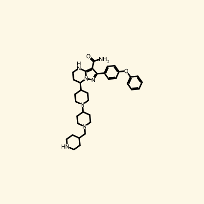 NC(=O)c1c(-c2ccc(Oc3ccccc3)cc2)nn2c1NCCC2C1CCN(C2CCN(CC3CCNCC3)CC2)CC1